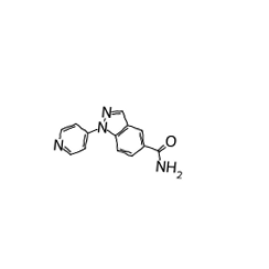 NC(=O)c1ccc2c(cnn2-c2ccncc2)c1